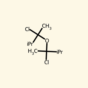 CC(C)C(C)(Cl)OC(C)(Cl)C(C)C